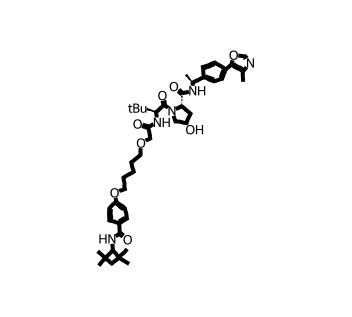 Cc1ncoc1-c1ccc([C@H](C)NC(=O)[C@@H]2C[C@@H](O)CN2C(=O)[C@@H](NC(=O)COCCCCCOc2ccc(C(=O)NC3C(C)(C)CC3(C)C)cc2)C(C)(C)C)cc1